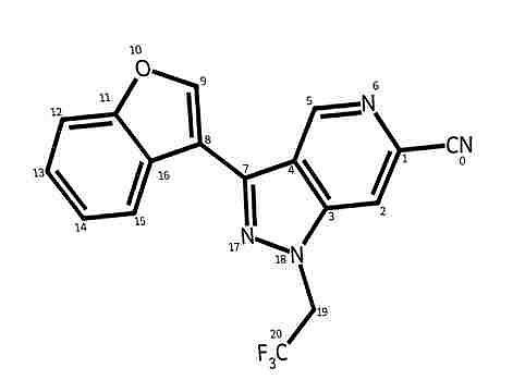 N#Cc1cc2c(cn1)c(-c1coc3ccccc13)nn2CC(F)(F)F